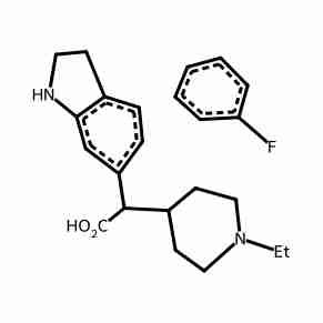 CCN1CCC(C(C(=O)O)c2ccc3c(c2)NCC3)CC1.Fc1ccccc1